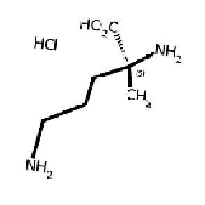 C[C@](N)(CCCN)C(=O)O.Cl